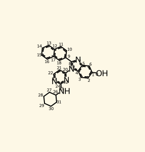 Oc1ccc2c(c1)nc(-c1ccc3ccccc3c1)n2-c1ccnc(NC2CCCCC2)n1